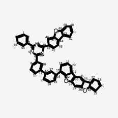 c1ccc(-c2nc(-c3cccc(-c4cccc(-c5cccc6c5oc5cc7oc8ccccc8c7cc56)c4)c3)nc(-c3ccc4c(c3)oc3ccccc34)n2)cc1